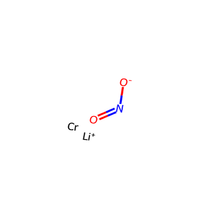 O=N[O-].[Cr].[Li+]